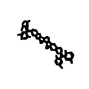 Cc1ccc(C)c(N(c2ccc3cc4c(cc3c2)oc2c4ccc3c4cc5ccc(N(c6cc(C)ccc6C)c6cc(C)ccc6C)cc5cc4oc32)c2cc(C)ccc2C)c1